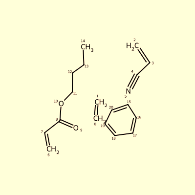 C=C.C=CC#N.C=CC(=O)OCCCC.c1ccccc1